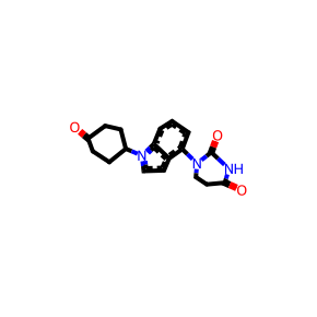 O=C1CCC(n2ccc3c(N4CCC(=O)NC4=O)cccc32)CC1